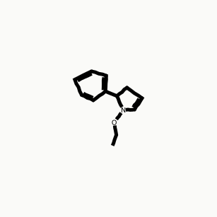 CCON1C=CCC1c1ccccc1